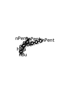 CCCCCC1CCC(c2ccc(-c3ccc(Sc4cc(N(CCCCC)CCCCC)cc5c4NC4C=C(C(=O)Nc6ccc(CCCC)cc6)C(=O)C=C4O5)cc3)cc2)CC1